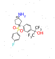 N[C@@H]1CC[C@](c2ccc(C(O)(C(F)(F)F)C(F)(F)F)cc2)(S(=O)(=O)c2ccc(F)cc2)C1